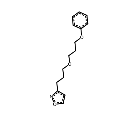 c1ccc(OCCCOCCCc2ccon2)cc1